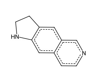 c1cc2cc3c(cc2cn1)CCN3